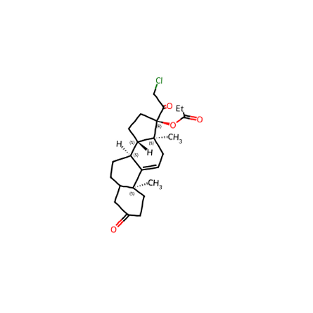 CCC(=O)O[C@]1(C(=O)CCl)CC[C@H]2[C@@H]3CCC4CC(=O)CC[C@]4(C)C3=CC[C@@]21C